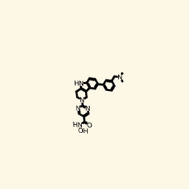 CN(C)Cc1cccc(-c2ccc3[nH]c4c(c3c2)CN(c2ncc(C(=O)NO)cn2)CC4)c1